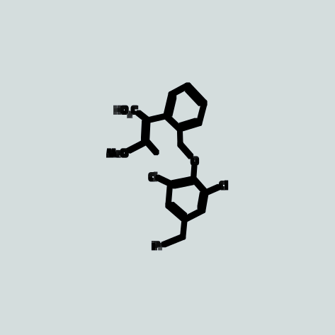 COC(C)=C(C(=O)O)c1ccccc1COc1c(Cl)cc(CC(C)C)cc1Cl